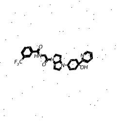 O=C(NCC(=O)N1CCC2C1CCN2[C@H]1CC[C@](O)(c2ccccn2)CC1)c1cccc(C(F)(F)F)c1